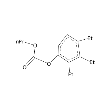 CCCOC(=O)Oc1ccc(CC)c(CC)c1CC